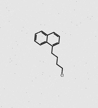 ClCCCCc1cccc2ccccc12